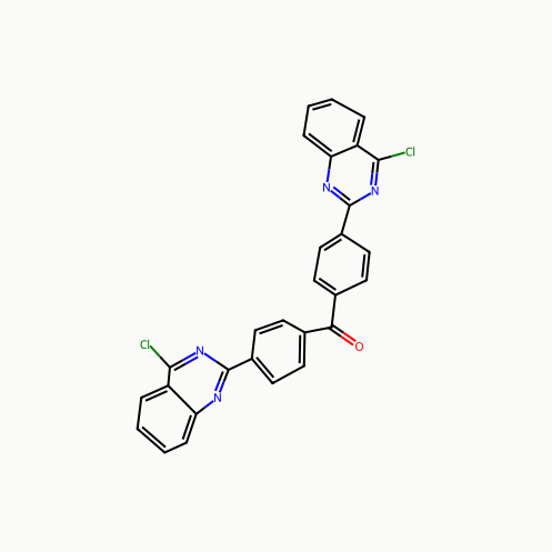 O=C(c1ccc(-c2nc(Cl)c3ccccc3n2)cc1)c1ccc(-c2nc(Cl)c3ccccc3n2)cc1